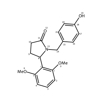 COc1cccc(OC)c1C1CCC(=O)N1Cc1ccc(O)cc1